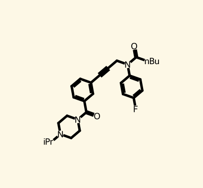 CCCCC(=O)N(CC#Cc1cccc(C(=O)N2CCN(C(C)C)CC2)c1)c1ccc(F)cc1